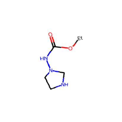 CCOC(=O)NN1CCNC1